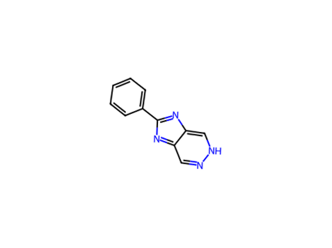 c1ccc(-c2nc3cn[nH]cc-3n2)cc1